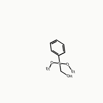 CCO[Si](CO)(OCC)c1ccccc1